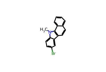 Cn1c2ccc(Br)cc2c2ccc3ccccc3c21